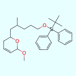 COC1C=CCC(CC(C)CCCO[Si](c2ccccc2)(c2ccccc2)C(C)(C)C)O1